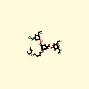 C=C/C(=C\C)OC/C=C\COc1cc(COc2cc(CCl)cc(CCl)c2)cc(COc2cc(CCl)cc(CCl)c2)c1